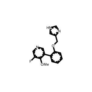 COc1c(F)cncc1-c1ccccc1OCc1c[nH]cn1